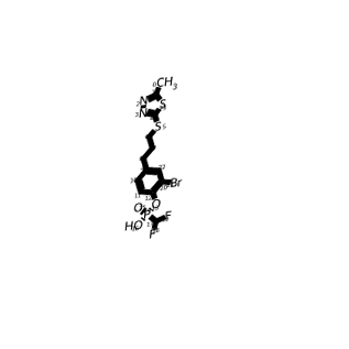 Cc1nnc(SCCCc2ccc(OP(=O)(O)C(F)F)c(Br)c2)s1